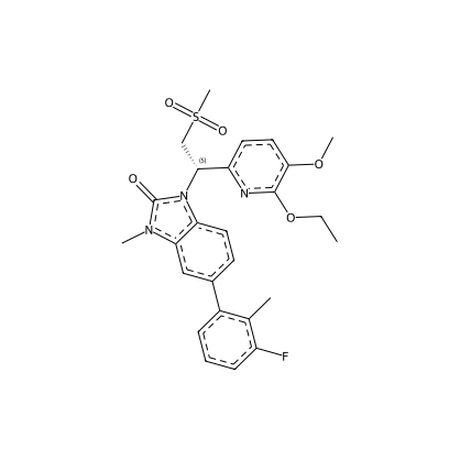 CCOc1nc([C@@H](CS(C)(=O)=O)n2c(=O)n(C)c3cc(-c4cccc(F)c4C)ccc32)ccc1OC